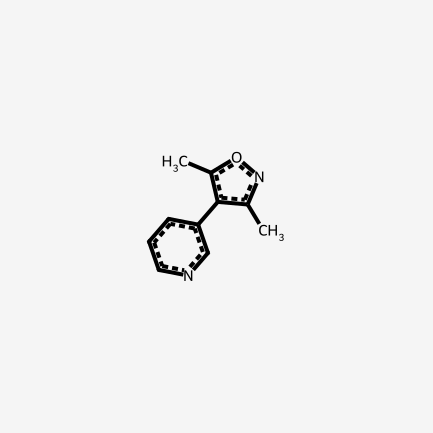 Cc1noc(C)c1-c1cccnc1